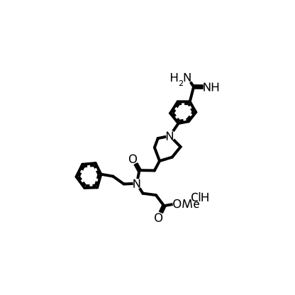 COC(=O)CCN(CCc1ccccc1)C(=O)CC1CCN(c2ccc(C(=N)N)cc2)CC1.Cl